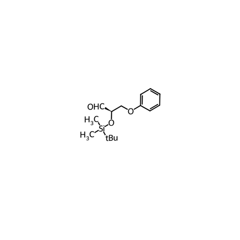 CC(C)(C)[Si](C)(C)O[C@@H](C=O)COc1ccccc1